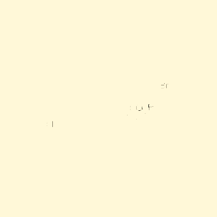 O=C(O)C1(C2(CCCCBr)CCCCC2)CCC(C2CCC(CCCl)CC2)CC1